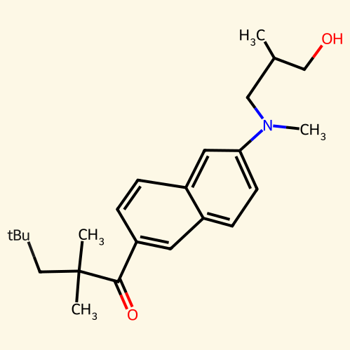 CC(CO)CN(C)c1ccc2cc(C(=O)C(C)(C)CC(C)(C)C)ccc2c1